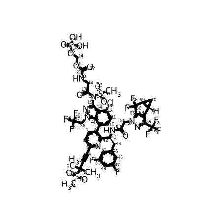 CC(C)(C#Cc1ccc(-c2ccc(Cl)c3c(N(C(=O)CNC(=O)OCOP(=O)(O)O)S(C)(=O)=O)nn(CC(F)(F)F)c23)c([C@H](Cc2cc(F)cc(F)c2)NC(=O)Cn2nc(C(F)(F)F)c3c2C(F)(F)C2C[C@H]32)n1)S(C)(=O)=O